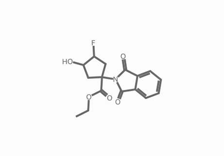 CCOC(=O)C1(N2C(=O)c3ccccc3C2=O)CC(O)C(F)C1